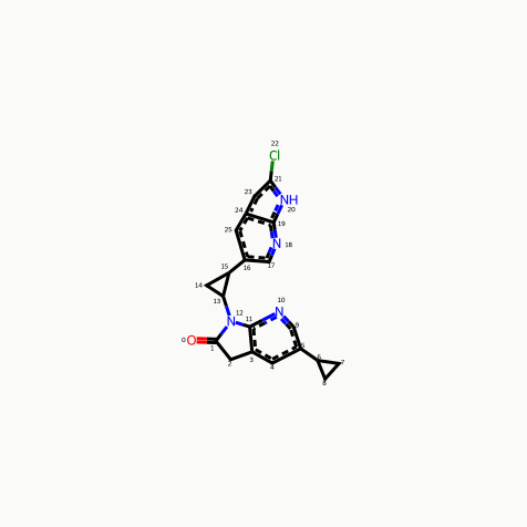 O=C1Cc2cc(C3CC3)cnc2N1C1CC1c1cnc2[nH]c(Cl)cc2c1